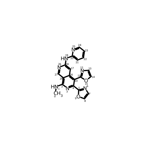 CNc1nc(-c2ncco2)c(-c2ncco2)c2cc(Nc3ccccn3)ncc12